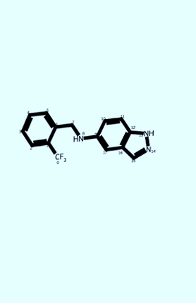 FC(F)(F)c1ccccc1CNc1ccc2[nH]ncc2c1